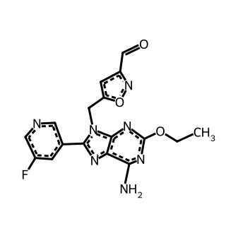 CCOc1nc(N)c2nc(-c3cncc(F)c3)n(Cc3cc(C=O)no3)c2n1